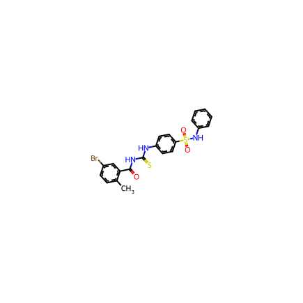 Cc1ccc(Br)cc1C(=O)NC(=S)Nc1ccc(S(=O)(=O)Nc2ccccc2)cc1